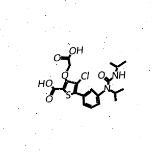 CC(C)NC(=O)N(c1cccc(-c2sc(C(=O)O)c(OCC(=O)O)c2Cl)c1)C(C)C